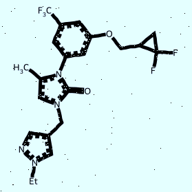 CCn1cc(Cn2cc(C)n(-c3cc(OCC4CC4(F)F)cc(C(F)(F)F)c3)c2=O)cn1